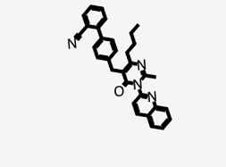 CCCCc1nc(C)n(-c2ccc3ccccc3n2)c(=O)c1Cc1ccc(-c2ccccc2C#N)cc1